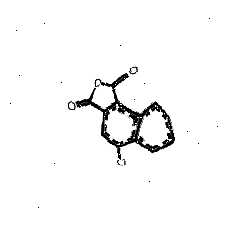 O=C1OC(=O)c2c1cc(Cl)c1ccccc21